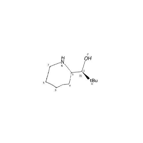 CC(C)(C)[C@H](O)C1CCCCN1